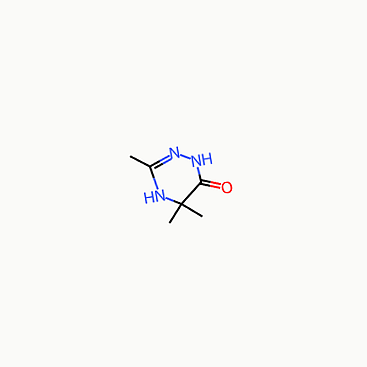 CC1=NNC(=O)C(C)(C)N1